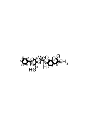 CO[C@H](CNc1ccc2cc(C)c(=O)oc2c1)OC1COC(c2ccccc2)O[C@H]1CO